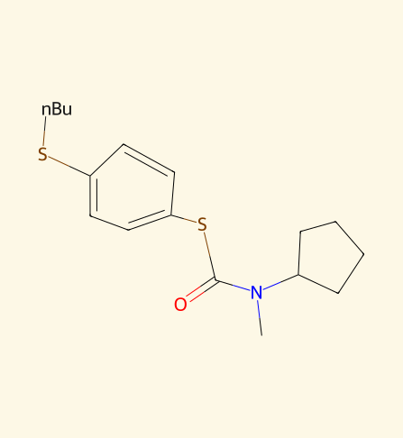 CCCCSc1ccc(SC(=O)N(C)C2CCCC2)cc1